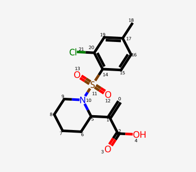 C=C(C(=O)O)C1CCCCN1S(=O)(=O)c1ccc(C)cc1Cl